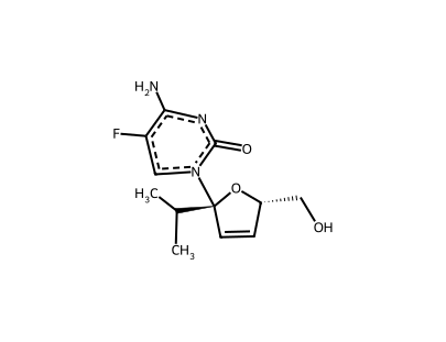 CC(C)[C@]1(n2cc(F)c(N)nc2=O)C=C[C@@H](CO)O1